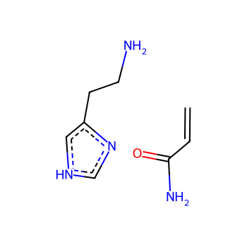 C=CC(N)=O.NCCc1c[nH]cn1